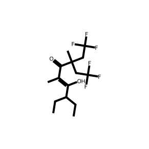 CCC(CC)/C(O)=C(\C)C(=O)C(C)(CC(F)(F)F)CC(F)(F)F